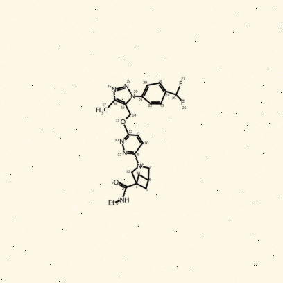 CCNC(=O)C12CC(CN(c3ccc(OCc4c(C)nnn4-c4ccc(C(F)F)cc4)nn3)C1)C2